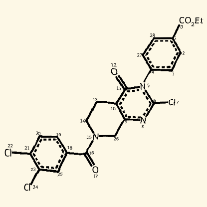 CCOC(=O)c1ccc(-n2c(Cl)nc3c(c2=O)CCN(C(=O)c2ccc(Cl)c(Cl)c2)C3)cc1